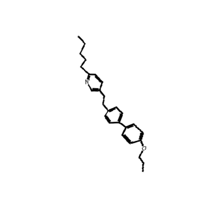 CCCCCc1ccc(CCc2ccc(-c3ccc(OCCC)cc3)cc2)cn1